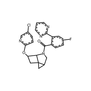 O=C(c1ccc(F)cc1-c1ncccn1)N1CC2CC23CC(Oc2ccc(Cl)cn2)C13